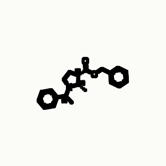 C[C@@H](c1ccccc1)N1CC[C@H](C(=O)OCc2ccccc2)[C@@H]1C